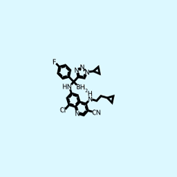 BC(Nc1cc(Cl)c2ncc(C#N)c(NCCC3CC3)c2c1)(c1ccc(F)cc1)c1cn(C2CC2)nn1